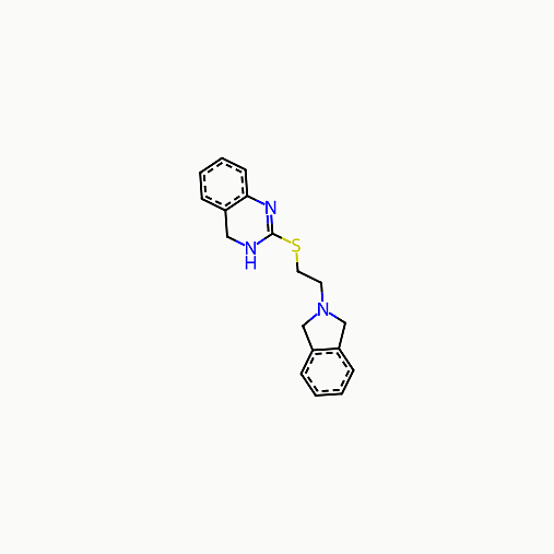 c1ccc2c(c1)CN(CCSC1=Nc3ccccc3CN1)C2